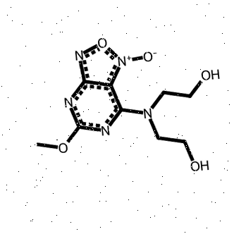 COc1nc(N(CCO)CCO)c2c(no[n+]2[O-])n1